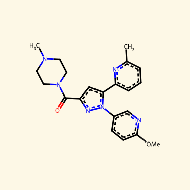 COc1ccc(-n2nc(C(=O)N3CCN(C)CC3)cc2-c2cccc(C)n2)cn1